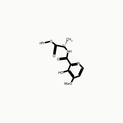 CCCOC(=O)[C@H](C)NC(=O)c1nccc(OC)c1O